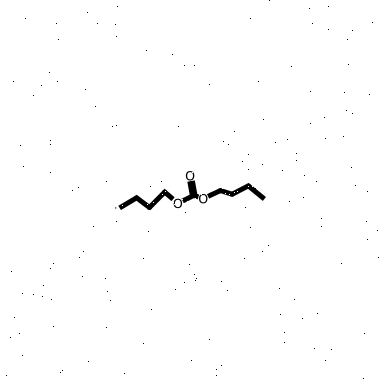 [CH2]CCCOC(=O)OCCCC